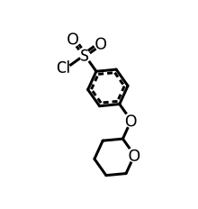 O=S(=O)(Cl)c1ccc(OC2CCCCO2)cc1